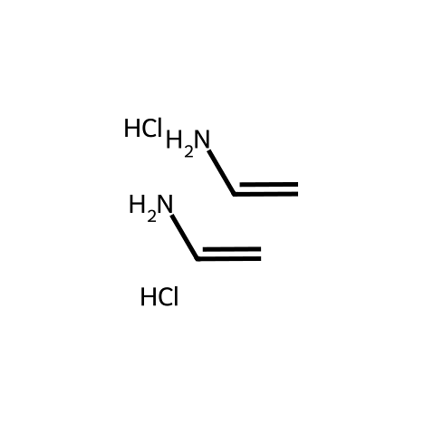 C=CN.C=CN.Cl.Cl